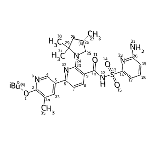 CC[C@@H](C)Oc1ncc(-c2ccc(C(=O)NS(=O)(=O)c3cccc(N)n3)c(N3C[C@@H](C)CC3(C)C)n2)cc1C